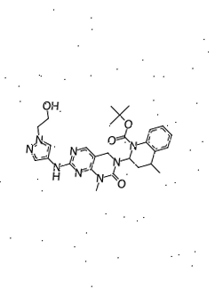 CC1CC(N2Cc3cnc(Nc4cnn(CCO)c4)nc3N(C)C2=O)N(C(=O)OC(C)(C)C)c2ccccc21